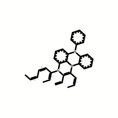 C=CC1=C(/C=C\C)B2c3ccccc3N(c3ccccc3)c3cccc(c32)N1C(/C=C\C=C/C)=C/C